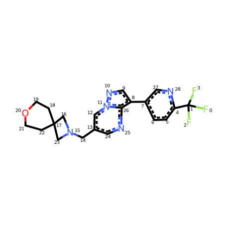 FC(F)(F)c1ccc(-c2cnn3cc(CN4CC5(CCOCC5)C4)cnc23)cn1